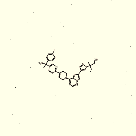 CC(N)(c1ccc(F)cc1)c1cnc(C2=CCN(c3ncnn4cc(-c5cnn(C(C)(C)CO)c5)cc34)CC2)nc1